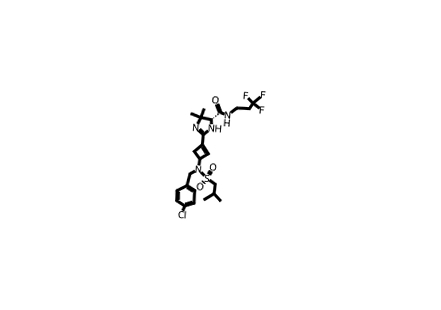 CC(C)CS(=O)(=O)N(Cc1ccc(Cl)cc1)C1C=C(C2=NC(C)(C)[C@H](C(=O)NCCC(F)(F)F)N2)C1